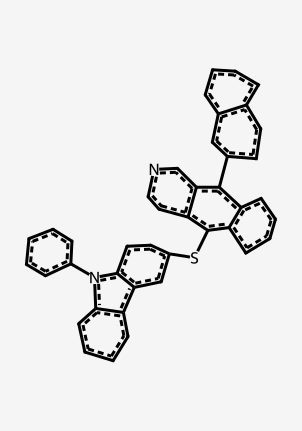 c1ccc(-n2c3ccccc3c3cc(Sc4c5ccccc5c(-c5ccc6ccccc6c5)c5cnccc45)ccc32)cc1